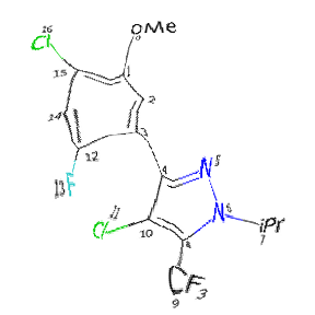 COc1cc(-c2nn(C(C)C)c(C(F)(F)F)c2Cl)c(F)cc1Cl